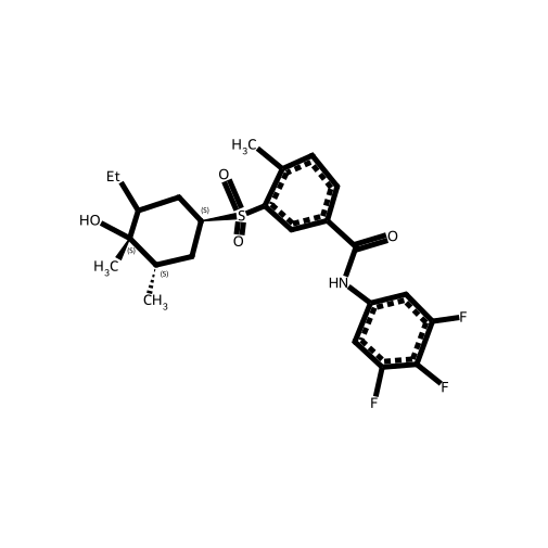 CCC1C[C@@H](S(=O)(=O)c2cc(C(=O)Nc3cc(F)c(F)c(F)c3)ccc2C)C[C@H](C)[C@]1(C)O